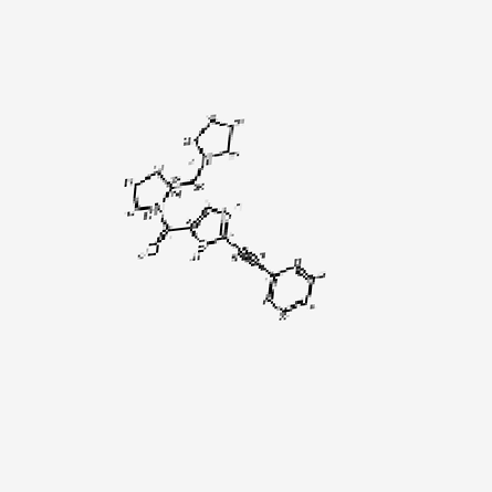 O=C(c1cnc(C#Cc2ccccc2)s1)N1CCC[C@H]1CN1CCCC1